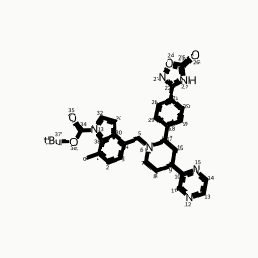 Cc1ccc(CN2CCC(c3cnccn3)CC2c2ccc(-c3noc(=O)[nH]3)cc2)c2ccn(C(=O)OC(C)(C)C)c12